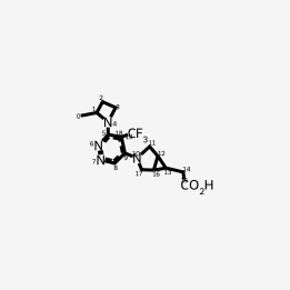 CC1CCN1c1nncc(N2CC3C(CC(=O)O)C3C2)c1C(F)(F)F